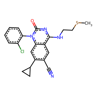 CSCCNc1nc(=O)n(-c2ccccc2Cl)c2cc(C3CC3)c(C#N)cc12